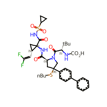 CCCCS[C@@]1(c2ccc(-c3ccccc3)cc2)C[C@@H](C(=O)N[C@]2(C(=O)NS(=O)(=O)C3CC3)C[C@H]2C=C(F)F)N(C(=O)[C@@H](NC(=O)O)C(C)(C)C)C1